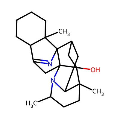 CC1CCC2(C)C3CC4CC2(O)C2(CC5=NC42C2(C)CCCCC52)N13